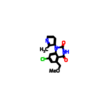 COCc1cc(Cl)cc2c1c(=O)[nH]c(=O)n2-c1cccnc1C